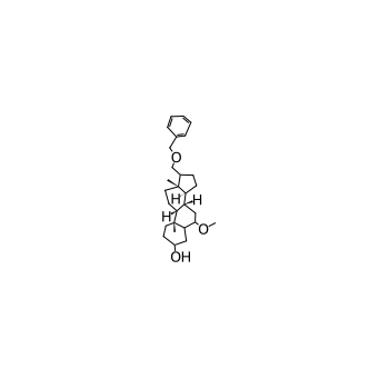 COC1C[C@@H]2[C@@H](CC[C@]3(C)C(COCc4ccccc4)CC[C@@H]23)[C@@]2(C)CCC(O)CC12